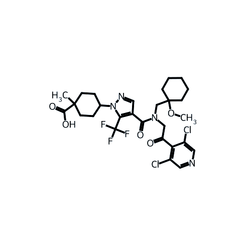 COC1(CN(CC(=O)c2c(Cl)cncc2Cl)C(=O)c2cnn(C3CCC(C)(C(=O)O)CC3)c2C(F)(F)F)CCCCC1